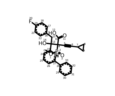 CO[PH](=O)C(C#CC1CC1)(C(=O)O)C(O)(Cc1ccc(F)cc1)c1cccc(-c2ccccc2)n1